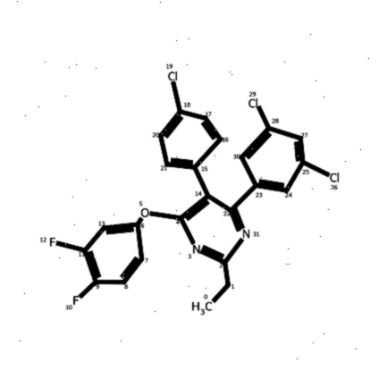 CCc1nc(Oc2ccc(F)c(F)c2)c(-c2ccc(Cl)cc2)c(-c2cc(Cl)cc(Cl)c2)n1